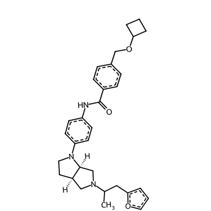 CC(Cc1ccco1)N1C[C@H]2CCN(c3ccc(NC(=O)c4ccc(COC5CCC5)cc4)cc3)[C@H]2C1